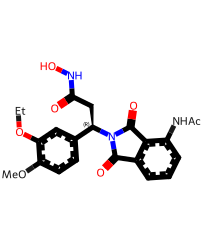 CCOc1cc([C@@H](CC(=O)NO)N2C(=O)c3cccc(NC(C)=O)c3C2=O)ccc1OC